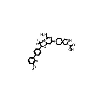 COc1cccc(-c2ccc(C(Oc3cc(N4CCC5(CC4)CN[C@H](C(=O)O)C5)nc(N)n3)C(F)(F)F)cc2)c1F